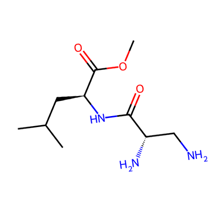 COC(=O)[C@H](CC(C)C)NC(=O)[C@@H](N)CN